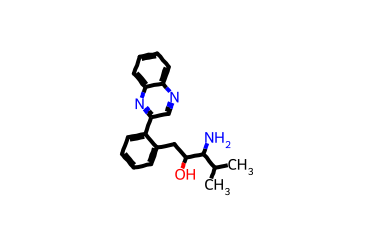 CC(C)C(N)C(O)Cc1ccccc1-c1cnc2ccccc2n1